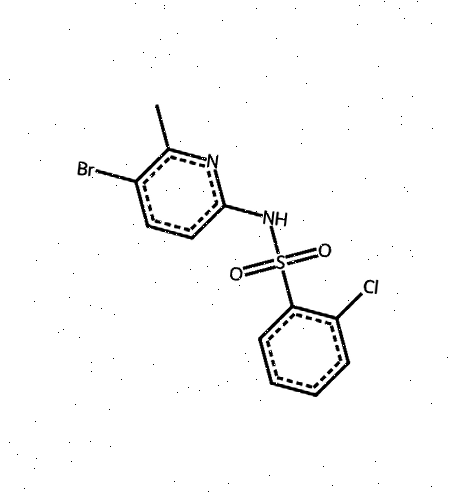 Cc1nc(NS(=O)(=O)c2ccccc2Cl)ccc1Br